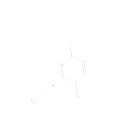 CC(C)(C#N)c1nc(Cl)ccc1Br